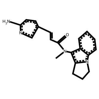 CN(C(=O)/C=C/c1ccc(N)nc1)c1c2n(c3ccccc13)CCC2